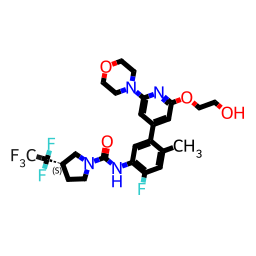 Cc1cc(F)c(NC(=O)N2CC[C@H](C(F)(F)C(F)(F)F)C2)cc1-c1cc(OCCO)nc(N2CCOCC2)c1